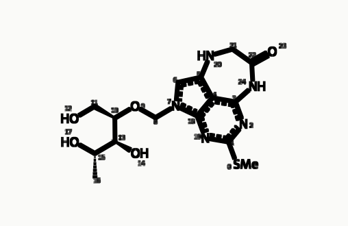 CSc1nc2c3c(cn(CO[C@H](CO)[C@@H](O)[C@H](C)O)c3n1)NCC(=O)N2